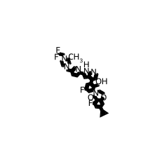 C[C@H]1CN(Cc2ccc(-c3cc4c(-c5cc(F)cc(N6CCOc7cc(C8CC8)cc(F)c7C6=O)c5CO)ccnc4[nH]3)nc2)CCN1CC(F)F